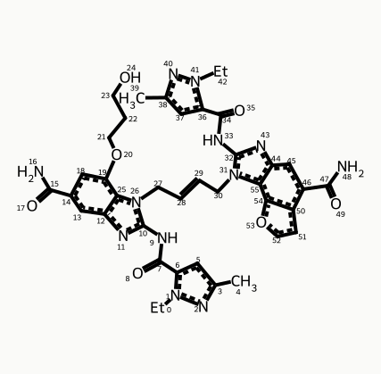 CCn1nc(C)cc1C(=O)Nc1nc2cc(C(N)=O)cc(OCCCO)c2n1CC=CCn1c(NC(=O)c2cc(C)nn2CC)nc2cc(C(N)=O)c3ccoc3c21